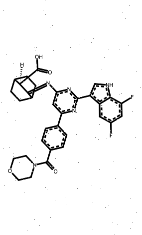 O=C(O)[C@H]1/C(=N/c2cc(-c3ccc(C(=O)N4CCOCC4)cc3)nc(-c3c[nH]c4c(F)cc(F)cc34)n2)C2CCC1CC2